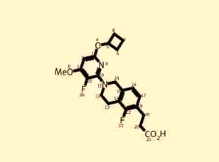 COc1cc(OC2CCC2)nc(N2CCc3c(ccc(CCC(=O)O)c3F)C2)c1F